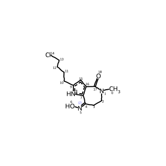 CN1CC/C(=N/O)c2[nH]c(CCCCCl)cc2C1=O